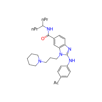 CCCC(CCC)NC(=O)c1ccc2nc(Nc3ccc(C(C)=O)cc3)n(CCCN3CCCCC3)c2c1